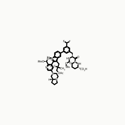 CCn1c(-c2cc(N3CCN4CCC[C@@H]4C3)cnc2[C@H](C)OC)c(CC(C)(C)COC(C)=O)c2cc(-c3cc(C[C@H](NC(=O)OC(C)(C)C)C(=O)N4CCC[C@@H](C(=O)O)N4)cc(C(F)F)c3)ccc21